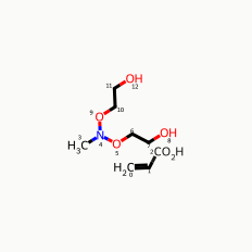 C=CC(=O)O.CN(OCCO)OCCO